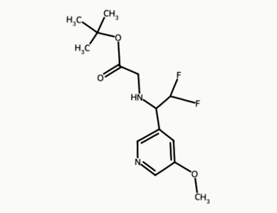 COc1cncc(C(NCC(=O)OC(C)(C)C)C(F)F)c1